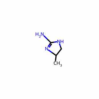 CC1CNC(N)=N1